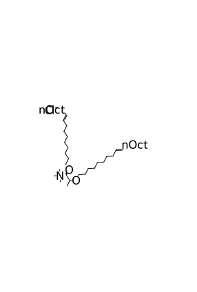 CCCCCCCCC=CCCCCCCCCOC(C)C(OCCCCCCCCC=CCCCCCCCC)[N+](C)(C)C.[Cl-]